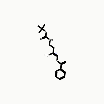 C=C(S/C=C(\N)CCNC(=O)OC(C)(C)C)c1ccccc1